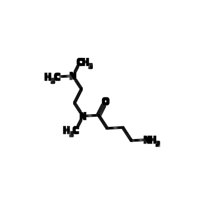 CN(C)CCN(C)C(=O)CCCN